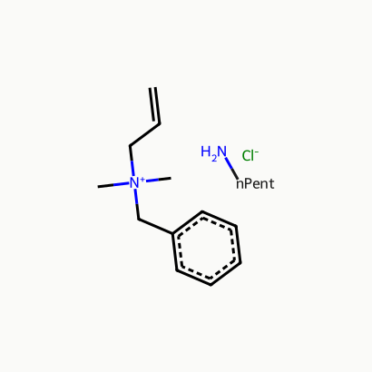 C=CC[N+](C)(C)Cc1ccccc1.CCCCCN.[Cl-]